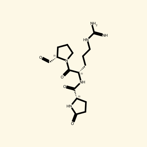 N=C(N)NCCC[C@H](NC(=O)[C@@H]1CCC(=O)N1)C(=O)N1CCC[C@H]1C=O